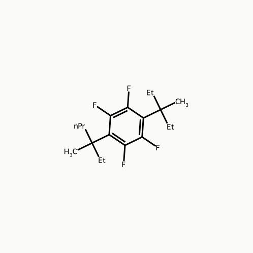 CCCC(C)(CC)c1c(F)c(F)c(C(C)(CC)CC)c(F)c1F